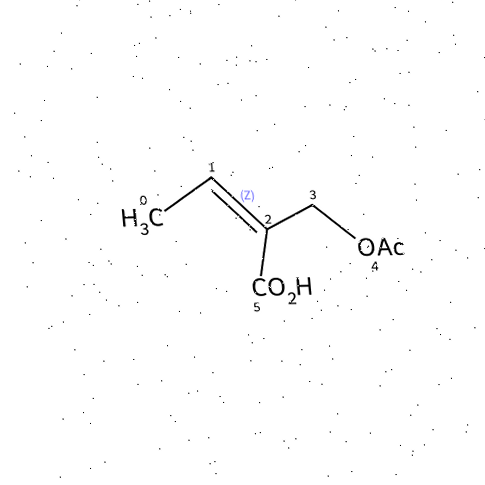 C/C=C(/COC(C)=O)C(=O)O